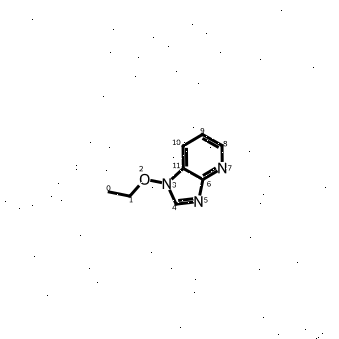 CCOn1cnc2ncccc21